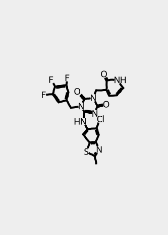 Cc1nc2cc(Cl)c(Nc3nc(=O)n(Cc4ccc[nH]c4=O)c(=O)n3Cc3cc(F)c(F)c(F)c3)cc2s1